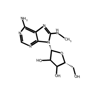 CNc1nc2c(N)ncnc2n1[C@@H]1O[C@H](CO)C(O)C1O